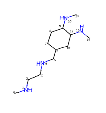 CNCCNCC1CCC(NC)C(NC)C1